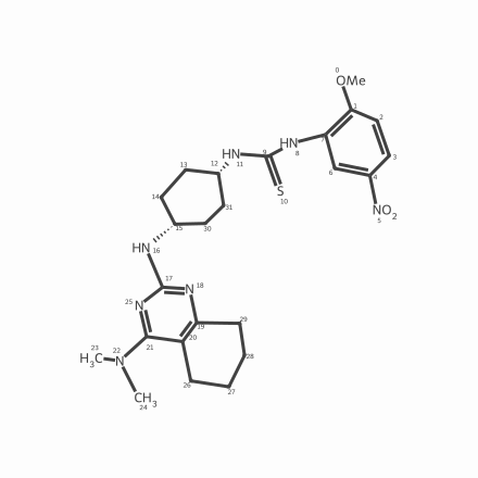 COc1ccc([N+](=O)[O-])cc1NC(=S)N[C@H]1CC[C@@H](Nc2nc3c(c(N(C)C)n2)CCCC3)CC1